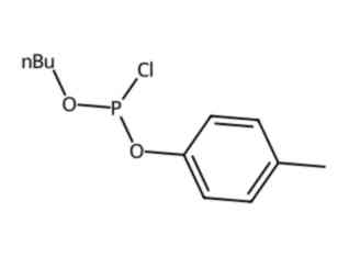 CCCCOP(Cl)Oc1ccc(C)cc1